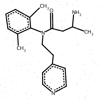 Cc1cccc(C)c1N(CCc1ccncc1)C(=O)CC(C)N